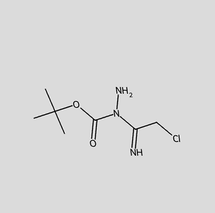 CC(C)(C)OC(=O)N(N)C(=N)CCl